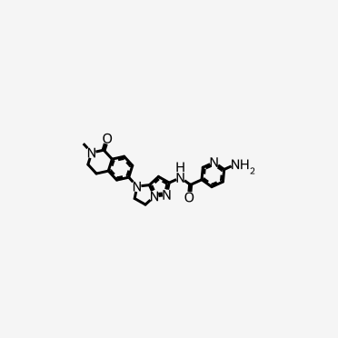 CN1CCc2cc(N3CCn4nc(NC(=O)c5ccc(N)nc5)cc43)ccc2C1=O